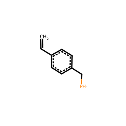 C=Cc1ccc(C[PH])cc1